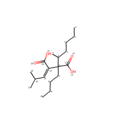 CCCCC(C)C(CCCC)(C(=O)O)C(=CC(C)C)C(=O)O